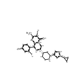 Cc1nc2c(-c3ccc(F)cc3F)nc([C@H]3CCO[C@H](c4cnn(C5CC5)c4)C3)cn2c(=O)c1F